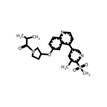 Cc1cc(-c2ccnc3ccc(OC4CCN(C(=O)C(C)C)C4)cc23)cnc1S(C)(=O)=O